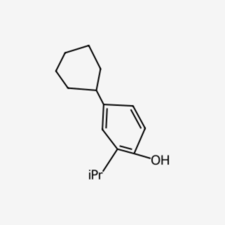 CC(C)c1cc(C2CCCCC2)ccc1O